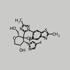 Cc1nc(C2(O)[C@H](CO)OC[C@@H](O)[C@@H]2n2cc(I)cn2)n(-c2cc3sc(C)nc3cc2F)n1